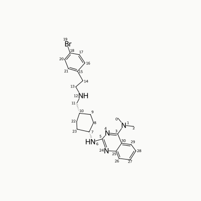 CN(C)c1nc(N[C@H]2CC[C@@H](CNCCc3ccc(Br)cc3)CC2)nc2ccccc12